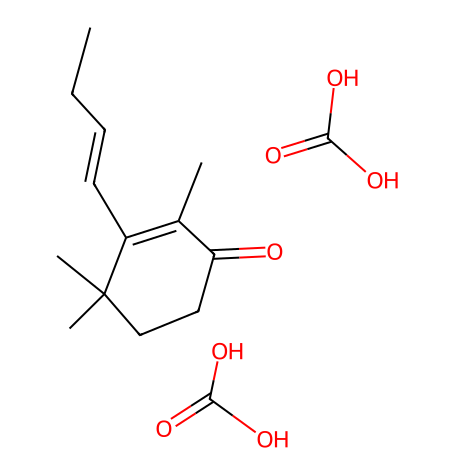 CCC=CC1=C(C)C(=O)CCC1(C)C.O=C(O)O.O=C(O)O